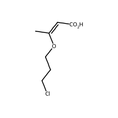 C/C(=C/C(=O)O)OCCCCl